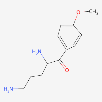 COc1ccc(C(=O)C(N)CCCN)cc1